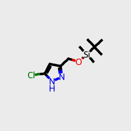 CC(C)(C)[Si](C)(C)OCc1cc(Cl)[nH]n1